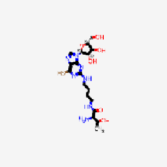 CC(O)C(N)C(=O)NCCCCNc1nc(S)c2ncn([C@@H]3O[C@H](CO)C(O)[C@@H]3O)c2n1